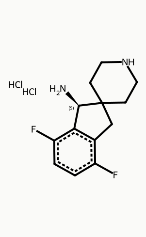 Cl.Cl.N[C@@H]1c2c(F)ccc(F)c2CC12CCNCC2